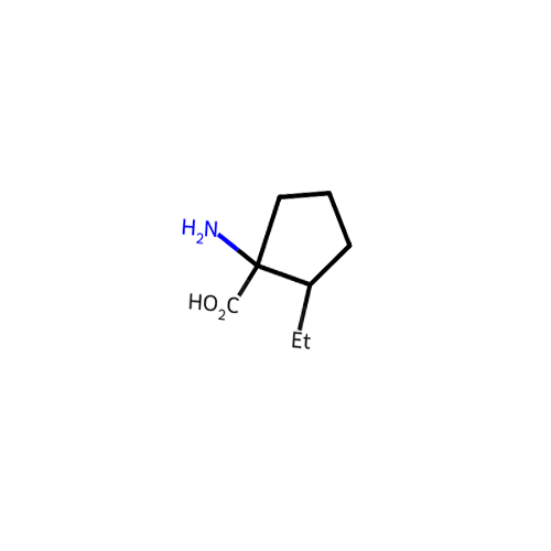 CCC1CCCC1(N)C(=O)O